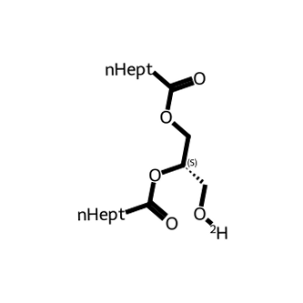 [2H]OC[C@@H](COC(=O)CCCCCCC)OC(=O)CCCCCCC